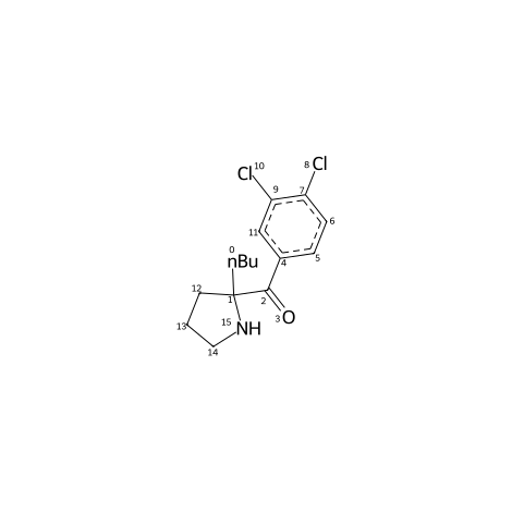 CCCCC1(C(=O)c2ccc(Cl)c(Cl)c2)CCCN1